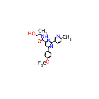 Cc1ccc(-c2nc(C(=O)N[C@@H](C)CO)cc(-c3ccc(OC(F)(F)F)cc3)n2)cn1